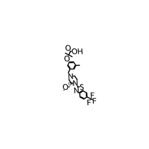 COC[C@@H]1CN(Cc2cc(C)cc(OC(C)(C)C(=O)O)c2)CCN1c1nc2ccc(C(F)(F)F)cc2s1